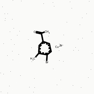 CC(=O)c1ccc(Br)c(C)c1.[Br-].[Cu+]